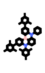 Cc1cc(C)c(-c2ccc3c(c2)N(c2ccccc2)c2cccc4c2B3c2ccc(-c3c(C)cc(C)cc3C)cc2N4c2c(C)cc(C)cc2C)c(C)c1